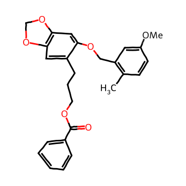 COc1ccc(C)c(COc2cc3c(cc2CCCOC(=O)c2ccccc2)OCO3)c1